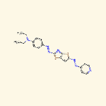 CCN(CC)c1ccc(N=Nc2nc3sc(N=Nc4ccncc4)cc3s2)cc1